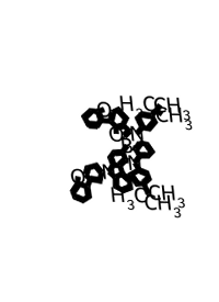 CC(C)(C)c1ccc(N2c3cccc4c3B(c3ccc5c(c3N4c3ccc(C(C)(C)C)cc3)c3ccccc3n5-c3ccc4oc5ccccc5c4c3)c3oc4c(ccc5oc6ccc#cc6c54)c32)cc1